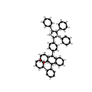 c1ccc(-c2ccccc2-c2c3ccccc3c(-c3ccc(-c4nc(-c5ccccc5)c(-c5ccccc5)n4-c4ccccc4)cc3)c3ccccc23)cc1